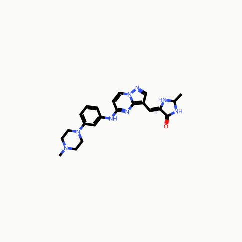 CC1NC(=O)/C(=C/c2cnn3ccc(Nc4cccc(N5CCN(C)CC5)c4)nc23)N1